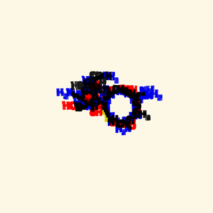 C[C@@H]1NC(=O)[C@@H]2CSC(=N2)c2cc(cs2)[C@@H](C(=O)N[C@@H](CO)C(=O)NC(OCO)C(=O)N[C@@H](Cc2ccc(O)cc2)C(=O)N[C@@H](CCCCN)C(=O)N[C@@H](CC(=O)O)C(=O)N[C@@H](CC(=O)O)C(=O)N[C@@H](CC(=O)O)C(=O)N[C@@H](CC(=O)O)C(=O)N[C@@H](CCCCN)C(=O)O)NC(=O)[C@H](CC(N)=O)NC(=O)[C@H](C)NC(=O)[C@H](CO)NC(=O)[C@H](CCCNC(=N)N)NC(=O)C2CCCN2C(=O)[C@H](C)NC(=O)[C@H](CCC(N)=O)NC1=O